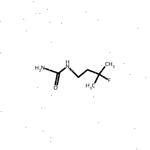 CC(C)(F)CCNC(N)=O